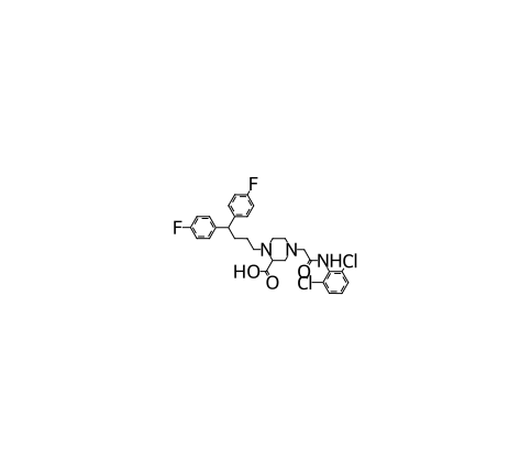 O=C(CN1CCN(CCCC(c2ccc(F)cc2)c2ccc(F)cc2)C(C(=O)O)C1)Nc1c(Cl)cccc1Cl